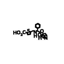 O=C(O)c1ccc(CNC(C(=O)O[C@H]2CN3CCC2CC3)c2ccccc2)s1